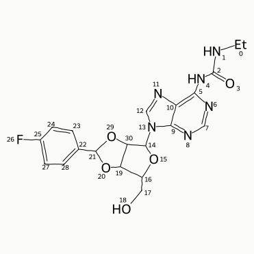 CCNC(=O)Nc1ncnc2c1ncn2C1OC(CO)C2OC(c3ccc(F)cc3)OC21